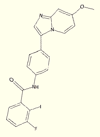 COc1ccn2c(-c3ccc(NC(=O)c4cccc(F)c4I)cc3)cnc2c1